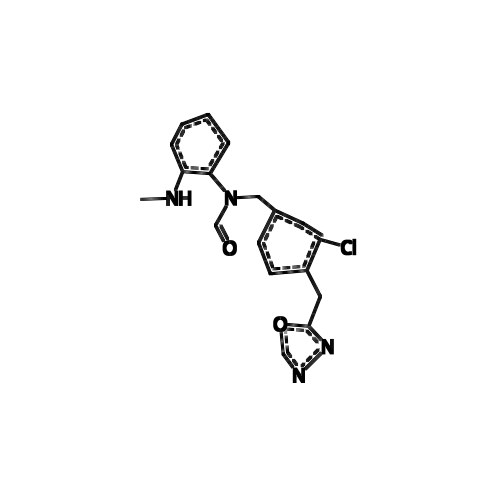 CNc1ccccc1N(C=O)Cc1ccc(Cc2nnco2)c(Cl)c1